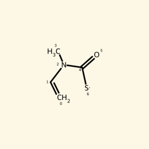 C=CN(C)C(=O)[S]